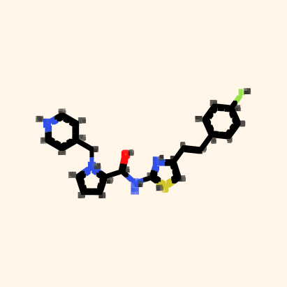 O=C(Nc1nc(C=Cc2ccc(F)cc2)cs1)c1cccn1Cc1ccncc1